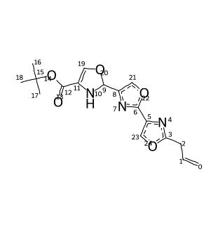 C=CCc1nc(-c2nc(C3NC(C(=O)OC(C)(C)C)=CO3)co2)co1